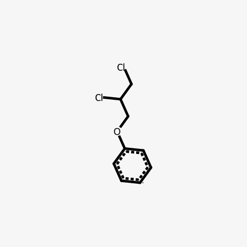 ClCC(Cl)COc1cc[c]cc1